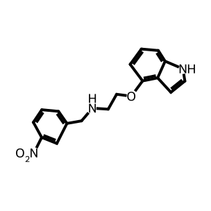 O=[N+]([O-])c1cccc(CNCCOc2cccc3[nH]ccc23)c1